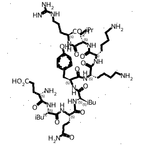 CC[C@H](C)[C@H](NC(=O)[C@H](CCC(N)=O)NC(=O)[C@@H](NC(=O)[C@@H](N)CCC(=O)O)[C@@H](C)CC)C(=O)N[C@@H](Cc1ccc(O)cc1)C(=O)N[C@@H](CCCCN)C(=O)N[C@@H](CCCCN)C(=O)N[C@@H](CC(C)C)C(=O)N[C@@H](CCCNC(=N)N)C(=O)O